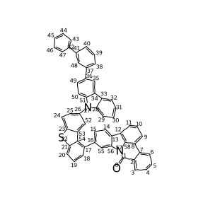 O=c1c2ccccc2c2cccc3c4ccc(-c5cccc6sc7ccc(-n8c9ccccc9c9cc(-c%10cccc(-c%11ccccc%11)c%10)ccc98)cc7c56)cc4n1c23